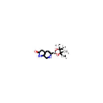 CC1(C)OB(c2cc3c(cn2)NC(=O)C3)OC1(C)C